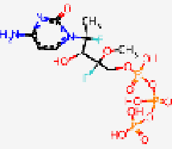 CO[C@](F)(COP(=O)(O)OP(=O)(O)OP(=O)(O)O)[C@@H](O)[C@@](C)(F)n1ccc(N)nc1=O